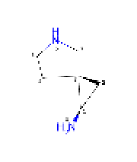 N[C@@H]1C[C@]12CCNC2